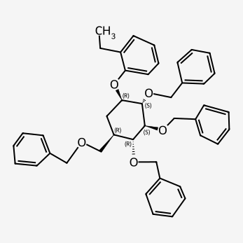 CCc1ccccc1O[C@@H]1C[C@H](COCc2ccccc2)[C@@H](OCc2ccccc2)[C@H](OCc2ccccc2)[C@H]1OCc1ccccc1